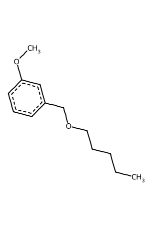 CCCCCOCc1cccc(OC)c1